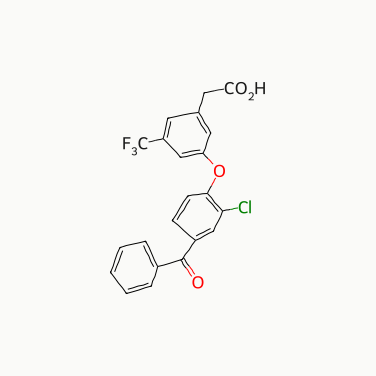 O=C(O)Cc1cc(Oc2ccc(C(=O)c3ccccc3)cc2Cl)cc(C(F)(F)F)c1